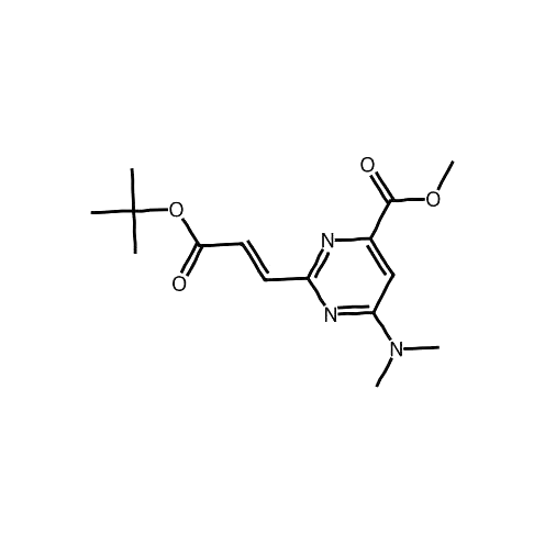 COC(=O)c1cc(N(C)C)nc(C=CC(=O)OC(C)(C)C)n1